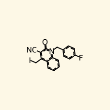 N#Cc1c(CI)c2ccccc2n(Cc2ccc(F)cc2)c1=O